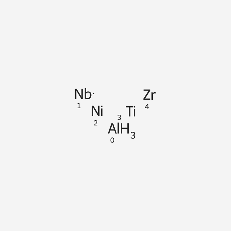 [AlH3].[Nb].[Ni].[Ti].[Zr]